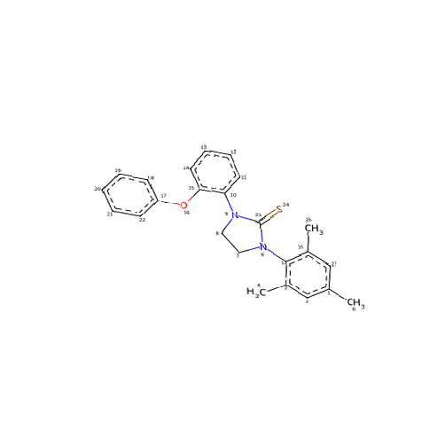 Cc1cc(C)c(N2CCN(c3ccccc3Oc3ccccc3)C2=S)c(C)c1